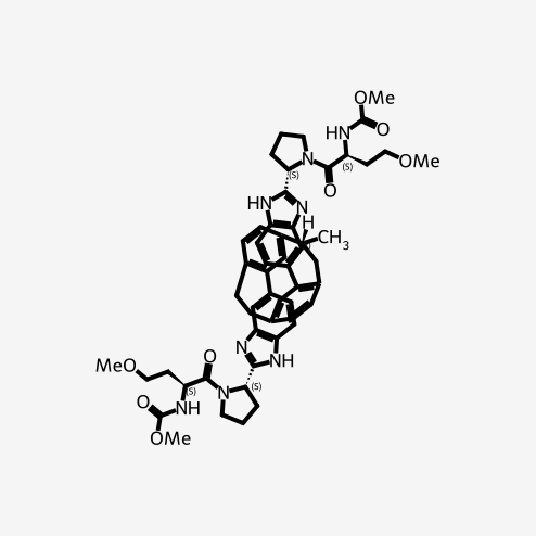 COCC[C@H](NC(=O)OC)C(=O)N1CCC[C@H]1c1nc2cc(-c3cc4ccc3CCc3ccc(c(-c5ccc6[nH]c([C@@H]7CCCN7C(=O)[C@H](CCOC)NC(=O)OC)nc6c5)c3)C[C@H]4C)ccc2[nH]1